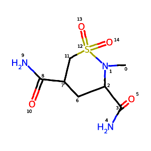 CN1C(C(N)=O)C[C](C(N)=O)CS1(=O)=O